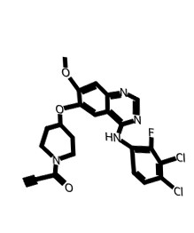 C#CC(=O)N1CCC(Oc2cc3c(Nc4ccc(Cl)c(Cl)c4F)ncnc3cc2OC)CC1